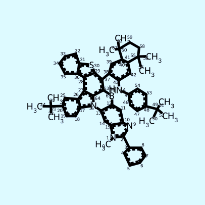 Cn1c(-c2ccccc2)nc2cc3c(cc21)-n1c2ccc(C(C)(C)C)cc2c2c4c(sc5ccccc54)c(-c4cc5c(cc4Nc4ccc(C(C)(C)C)cc4)C(C)(C)CCC5(C)C)c(c21)B3